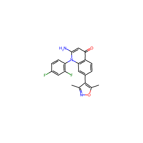 Cc1noc(C)c1-c1ccc2c(=O)cc(N)n(-c3ccc(F)cc3F)c2c1